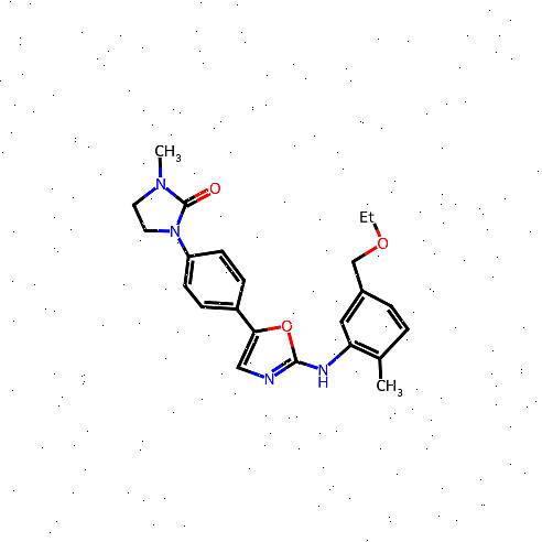 CCOCc1ccc(C)c(Nc2ncc(-c3ccc(N4CCN(C)C4=O)cc3)o2)c1